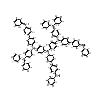 c1ccc(Nc2ccc(-c3ccc(N(c4ccc(N(c5ccccc5)c5ccccc5)cc4)c4ccc(N(c5ccc(-c6ccc(Nc7ccccc7)cc6)cc5)c5ccc(N(c6ccc(-c7ccc(Nc8ccccc8)cc7)cc6)c6ccc(N(c7ccccc7)c7ccccc7)cc6)cc5)cc4)cc3)cc2)cc1